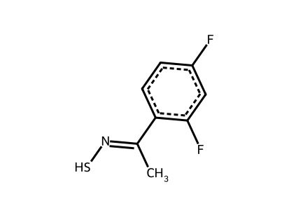 C/C(=N\S)c1ccc(F)cc1F